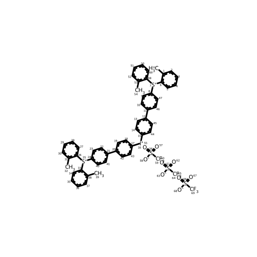 Cc1ccccc1[S+](c1ccc(-c2ccc([I+]c3ccc(-c4ccc([S+](c5ccccc5C)c5ccccc5C)cc4)cc3)cc2)cc1)c1ccccc1C.O=S(=O)([O-])C(F)(F)F.O=S(=O)([O-])C(F)(F)F.O=S(=O)([O-])C(F)(F)F